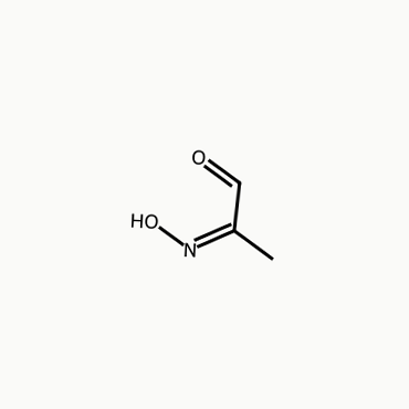 CC(C=O)=NO